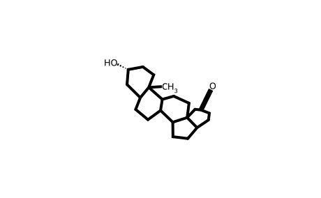 CC12CC[C@@H](O)CC1CCC1C2CCC23CC(=O)CCC2CCC13